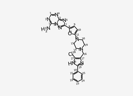 Nc1ncnc2nc(-c3ccc(N4CCN(Cc5nc(-c6ccccc6)[nH]c5Cl)CC4)o3)nn12